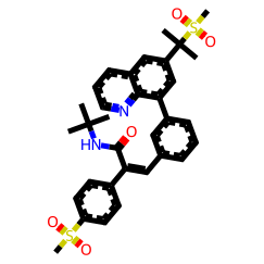 CC(C)(C)NC(=O)C(=Cc1cccc(-c2cc(C(C)(C)S(C)(=O)=O)cc3cccnc23)c1)c1ccc(S(C)(=O)=O)cc1